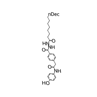 CCCCCCCCCCCCCCCCCC(=O)NNC(=O)c1ccc(CC(=O)Nc2ccc(O)cc2)cc1